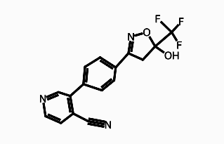 N#Cc1ccncc1-c1ccc(C2=NOC(O)(C(F)(F)F)C2)cc1